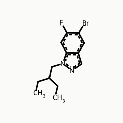 CCC(CC)Cn1ncc2cc(Br)c(F)cc21